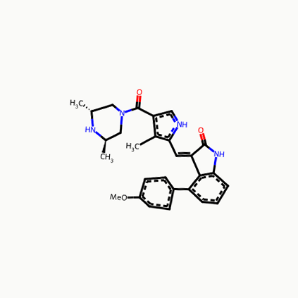 COc1ccc(-c2cccc3c2C(=Cc2[nH]cc(C(=O)N4C[C@@H](C)N[C@H](C)C4)c2C)C(=O)N3)cc1